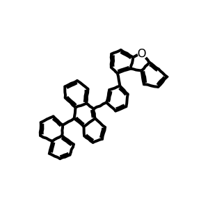 c1cc(-c2c3ccccc3c(-c3cccc4ccccc34)c3ccccc23)cc(-c2cccc3oc4ccccc4c23)c1